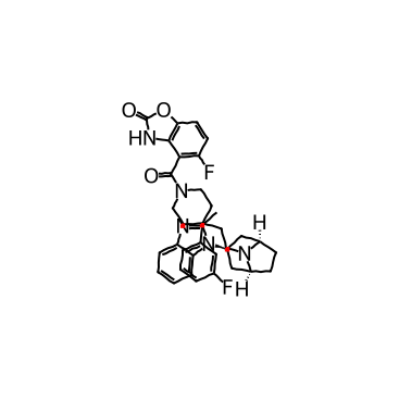 Cc1nc2ccccc2n1[C@H]1C[C@H]2CC[C@@H](C1)N2CCC1(c2cccc(F)c2)CCN(C(=O)c2c(F)ccc3oc(=O)[nH]c23)CC1